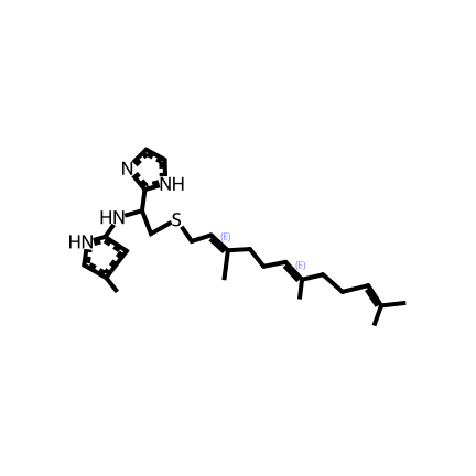 CC(C)=CCC/C(C)=C/CC/C(C)=C/CSCC(Nc1cc(C)c[nH]1)c1ncc[nH]1